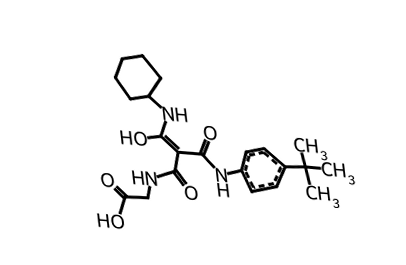 CC(C)(C)c1ccc(NC(=O)/C(C(=O)NCC(=O)O)=C(/O)NC2CCCCC2)cc1